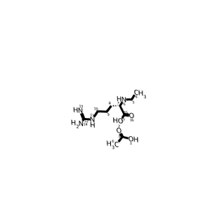 CC(=O)O.CCN[C@@H](CCCNC(=N)N)C(=O)O